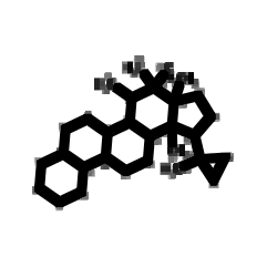 CC1C2C3CCC4C[CH]CCC4C3CCC2C2(C)C(C3(C)CC3)CCC2(C)C1(C)C